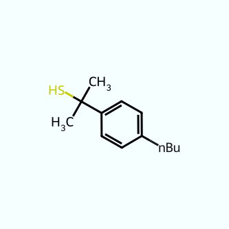 CCCCc1ccc(C(C)(C)S)cc1